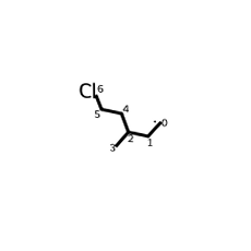 [CH2]CC(C)CCCl